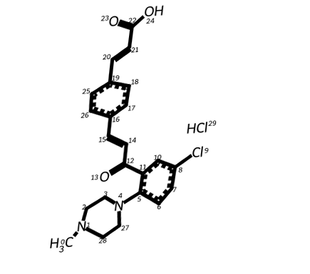 CN1CCN(c2ccc(Cl)cc2C(=O)C=Cc2ccc(C=CC(=O)O)cc2)CC1.Cl